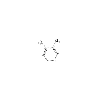 FC(F)(F)C1=C[CH]CC=C1C(F)(F)F